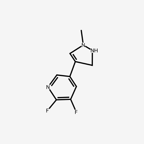 CN1C=C(c2cnc(F)c(F)c2)CN1